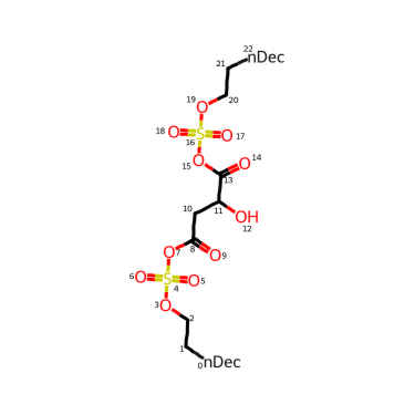 CCCCCCCCCCCCOS(=O)(=O)OC(=O)CC(O)C(=O)OS(=O)(=O)OCCCCCCCCCCCC